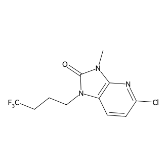 Cn1c(=O)n(CCCC(F)(F)F)c2ccc(Cl)nc21